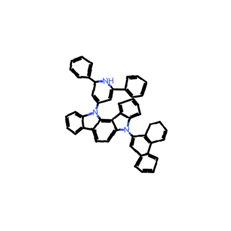 C1=Cc2c(c(-n3c4ccccc4c4c5c(ccc43)c3ccccc3n5C3=CC(c4ccccc4)NC(c4ccccc4)=C3)cc3ccccc23)CC1